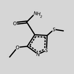 COc1nsc(SC)c1C(N)=O